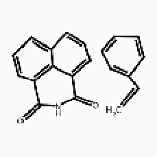 C=Cc1ccccc1.O=C1NC(=O)c2cccc3cccc1c23